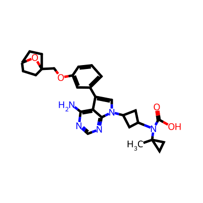 CC1(N(C(=O)O)C2CC(n3cc(-c4cccc(OCC56CCC(CC5)O6)c4)c4c(N)ncnc43)C2)CC1